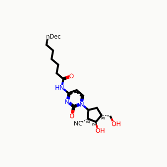 CCCCCCCCCCCCCCCC(=O)Nc1ccn(C2C[C@H](CO)[C@@H](O)[C@@H]2C#N)c(=O)n1